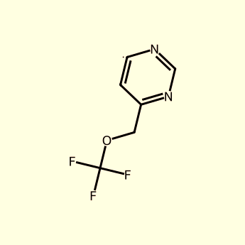 FC(F)(F)OCc1c[c]ncn1